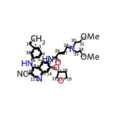 C=Cc1cccc(Nc2c(C#N)cnc3cc(O[C@H]4CCOC4)c(NC(=O)/C=C/CN(CCOC)CCOC)cc23)c1